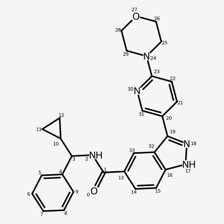 O=C(NC(c1ccccc1)C1CC1)c1ccc2[nH]nc(-c3ccc(N4CCOCC4)nc3)c2c1